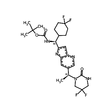 C[C@@H](c1cnn2cc([C@@H](NC(=O)OC(C)(C)C)C3CCC(F)(F)CC3)nc2c1)N1CC(F)(F)CNC1=O